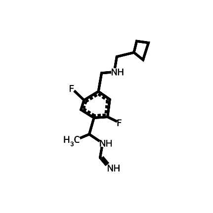 CC(NC=N)c1cc(F)c(CNCC2CCC2)cc1F